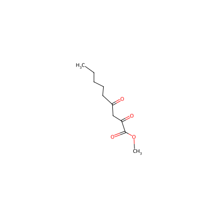 CCCCCC(=O)CC(=O)C(=O)OC